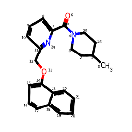 CC1CCN(C(=O)c2cccc(COc3cccc4ccccc34)n2)CC1